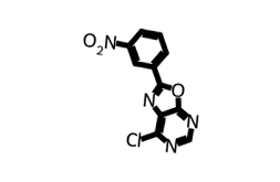 O=[N+]([O-])c1cccc(-c2nc3c(Cl)ncnc3o2)c1